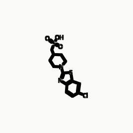 O=S(=O)(O)CC1CCN(c2nc3ccc(Cl)cc3s2)CC1